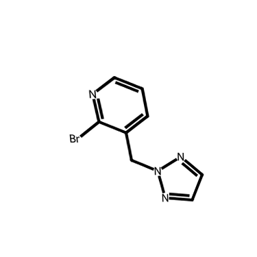 Brc1ncccc1Cn1nccn1